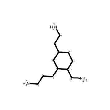 NCCCC1CC(CCN)CCC1CN